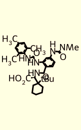 CNC(=O)Nc1ccc(C(=O)N[C@H](C(=O)O)C2(C(C)(C)C)CCCCC2)c(NC(=O)Nc2c(C)cc(C)cc2C)c1